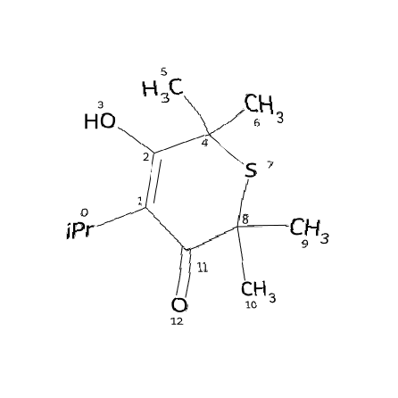 CC(C)C1=C(O)C(C)(C)SC(C)(C)C1=O